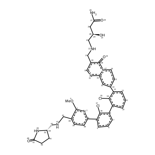 COc1nc(-c2cccc(-c3cccc(-c4ccn5c(=O)c(CNC[C@H](O)CC(N)=O)cnc5c4)c3Cl)c2Cl)ccc1CNC[C@@H]1CCC(=O)N1